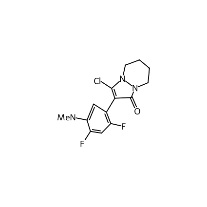 CNc1cc(-c2c(Cl)n3n(c2=O)CCCC3)c(F)cc1F